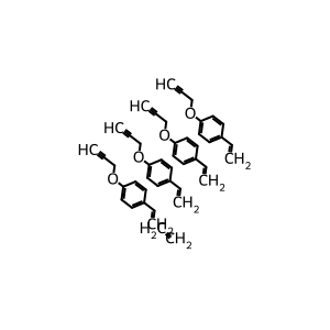 C#CCOc1ccc(C=C)cc1.C#CCOc1ccc(C=C)cc1.C#CCOc1ccc(C=C)cc1.C#CCOc1ccc(C=C)cc1.C=C